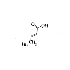 CC=CC(=O)O.[LiH]